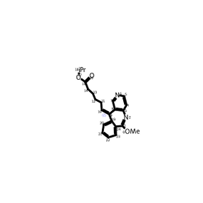 COC1=Nc2ccncc2/C(=C\CCCCC(=O)OC(C)C)c2ccccc21